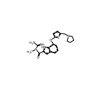 CN(C(=N)N)C(=O)c1cc2cccc(Oc3ccc(CN4CCCC4)s3)c2[nH]1